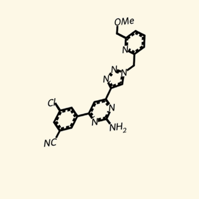 COCc1cccc(Cn2cc(-c3cc(-c4cc(Cl)cc(C#N)c4)nc(N)n3)nn2)n1